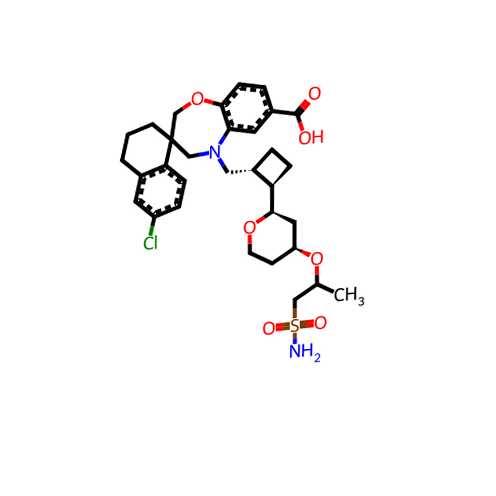 CC(CS(N)(=O)=O)O[C@H]1CCO[C@@H]([C@@H]2CC[C@H]2CN2CC3(CCCc4cc(Cl)ccc43)COc3ccc(C(=O)O)cc32)C1